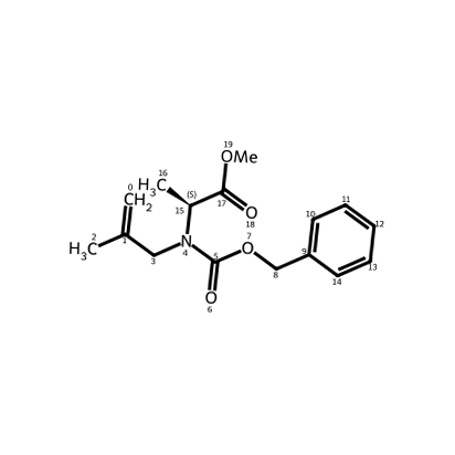 C=C(C)CN(C(=O)OCc1ccccc1)[C@@H](C)C(=O)OC